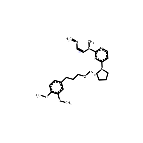 C=N/C=C\N(C)c1nccc(N2CCC[C@@H]2COCCCc2ccc(OC)c(OC)c2)n1